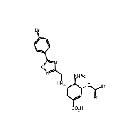 CCC(CC)O[C@@H]1C=C(C(=O)O)C[C@H](NCc2noc(-c3ccc(Br)cc3)n2)[C@H]1NC(C)=O